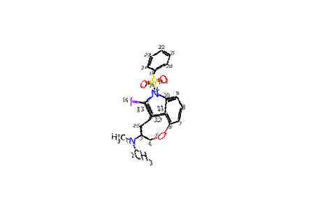 CN(C)C1COc2cccc3c2c(c(I)n3S(=O)(=O)c2ccccc2)C1